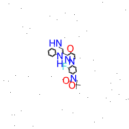 CC1(C)CN(c2ccc(-n3ccc(=O)c(/C(=C/C=N)Nc4ccccc4)n3)c(F)c2)C(=O)O1